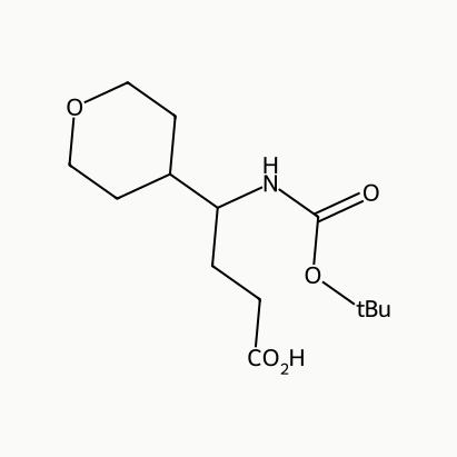 CC(C)(C)OC(=O)NC(CCC(=O)O)C1CCOCC1